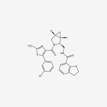 Cc1nc(C(=O)N2C[C@@H]3C[C@@H]3[C@H]2CNC(=O)c2cccc3c2OCC3)c(-c2cccc(Cl)c2)s1